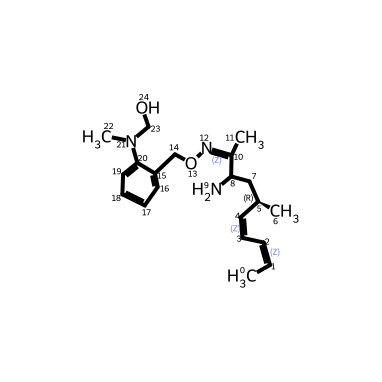 C/C=C\C=C/[C@H](C)CC(N)/C(C)=N\OCc1ccccc1N(C)CO